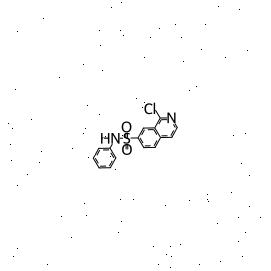 O=S(=O)(Nc1ccccc1)c1ccc2ccnc(Cl)c2c1